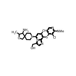 CNc1nccc(Sc2c(C)cc(N3CCC4(CC3)COC(C)C4N)n3c(CO)cnc23)c1Cl